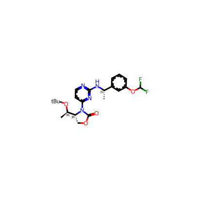 C[C@H](Nc1nccc(N2C(=O)OC[C@@H]2[C@@H](C)OC(C)(C)C)n1)c1cccc(OC(F)F)c1